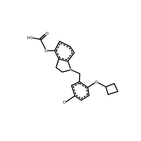 O=C(O)Oc1cccc2c1CCN2Cc1cc(Cl)ccc1OC1CCC1